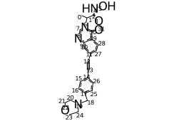 CC(C(=O)NO)n1cnc2cc(C#Cc3ccc(CN4CCOCC4)cc3)ccc2c1=O